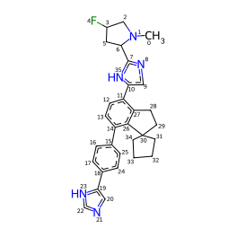 CN1CC(F)CC1c1ncc(-c2ccc(-c3ccc(-c4cnc[nH]4)cc3)c3c2CCC32CCCC2)[nH]1